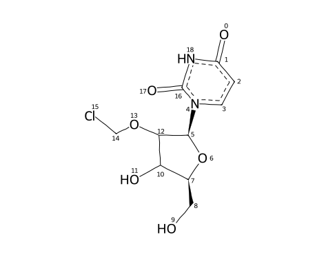 O=c1ccn([C@H]2O[C@@H](CO)C(O)C2OCCl)c(=O)[nH]1